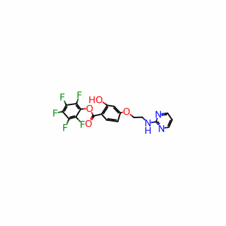 O=C(Oc1c(F)c(F)c(F)c(F)c1F)c1ccc(OCCNc2ncccn2)cc1O